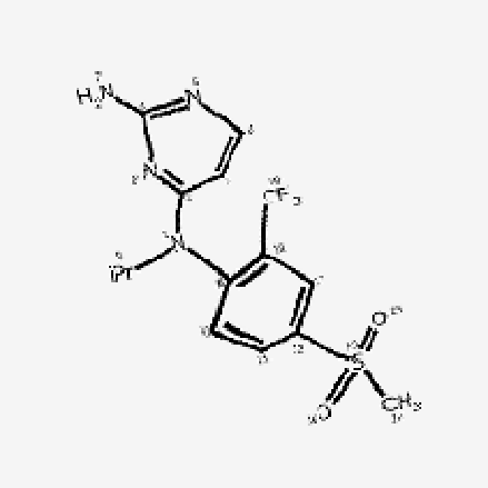 CC(C)N(c1ccnc(N)n1)c1ccc(S(C)(=O)=O)cc1C(F)(F)F